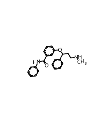 CNCCC(Oc1cccc(C(=O)Nc2ccccc2)c1)c1ccccc1